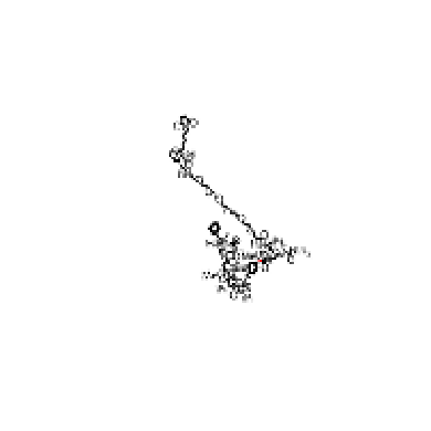 CC[C@H](C)[C@@H]([C@@H](CC(=O)N1CCC[C@H]1[C@H](OC)[C@@H](C)C(=O)N[C@H](C)C(O)c1ccccc1)OC)N(C)C(=O)[C@@H](NC(=O)[C@H](C(C)C)N(C)C(=O)OCc1ccc(NC(=O)C(CCCNC(N)=O)NC(=O)C(NC(=O)CCOCCOCCOCCOCCOCCOCCNC(=O)CC(CC(=O)O)NC(=O)CCCCCN2C(=O)C=CC2=O)C(C)C)cc1)C(C)C